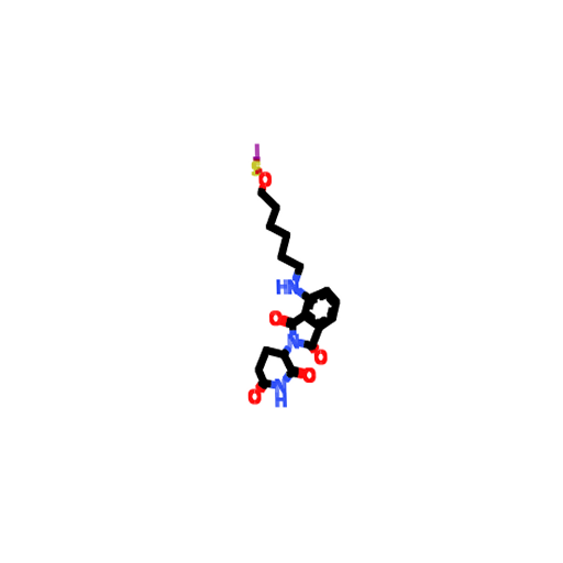 O=C1CCC(N2C(=O)c3cccc(NCCCCCCOSI)c3C2=O)C(=O)N1